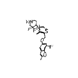 CC1=C(COc2cc(F)c3oc(C)cc3c2)SCN1C1CCNCC1(F)F